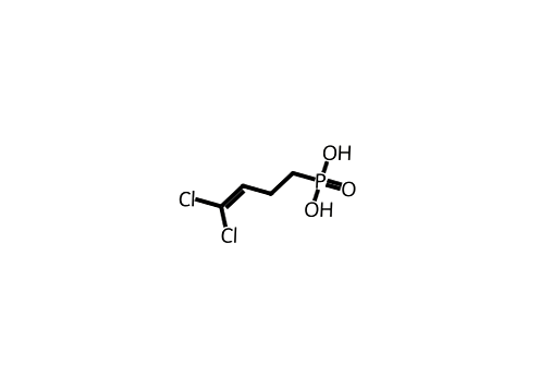 O=P(O)(O)CCC=C(Cl)Cl